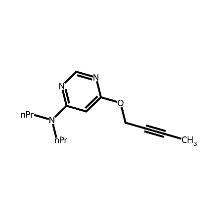 CC#CCOc1cc(N(CCC)CCC)ncn1